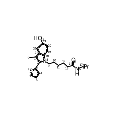 Cc1c(-c2cccs2)n(CCCCCC(=O)NC(C)C)c2ccc(O)cc12